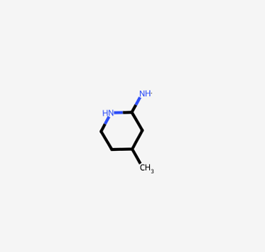 CC1CCNC([NH])C1